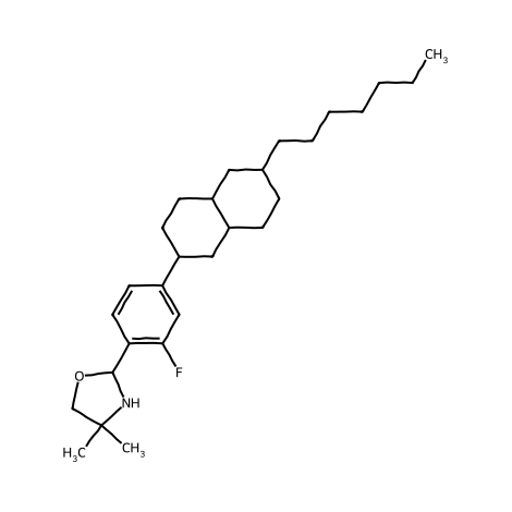 CCCCCCCC1CCC2CC(c3ccc(C4NC(C)(C)CO4)c(F)c3)CCC2C1